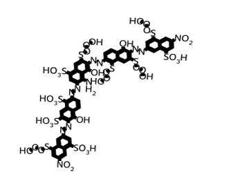 Nc1c(N=Nc2ccc3c(O)c(N=Nc4cc(S(=O)(=O)O)c5cc([N+](=O)[O-])cc(SOOO)c5c4)c(S(=O)(=O)O)cc3c2S(=O)(=O)O)cc(S(=O)(=O)O)c2cc(SOOO)c(N=Nc3ccc4c(O)c(N=Nc5cc(SOOO)c6cc([N+](=O)[O-])cc(S(=O)(=O)O)c6c5)c(SOOO)cc4c3SOOO)c(O)c12